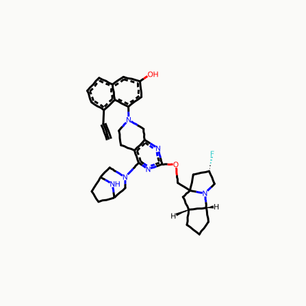 C#Cc1cccc2cc(O)cc(N3CCc4c(nc(OCC56C[C@H](F)CN5[C@@H]5CCC[C@@H]5C6)nc4N4CC5CCC(C4)N5)C3)c12